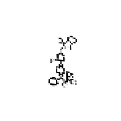 CCN(CC)C(=O)C(c1ccccc1)N1CCN(c2ccc(CNC(=O)[C@H]3CCOC3)cc2F)CC1